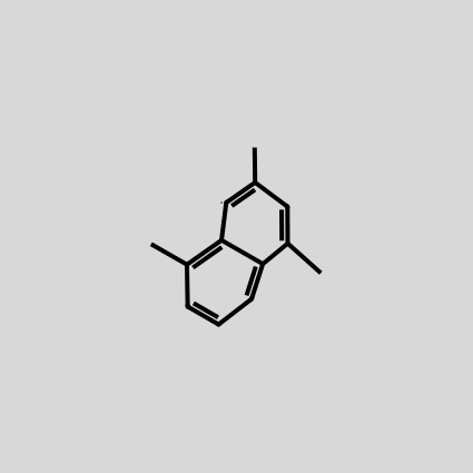 Cc1[c]c2c(C)cccc2c(C)c1